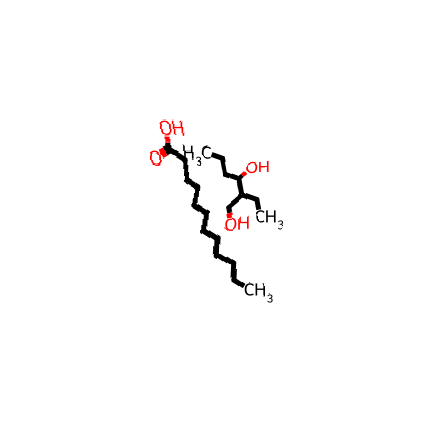 CCCC(O)C(CC)CO.CCCCCCCCCCCC(=O)O